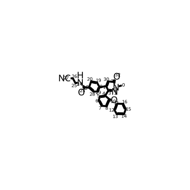 Cn1nc(-c2ccccc2Oc2ccccc2)c(-c2ccc(C(=O)NCCC#N)cc2)cc1=O